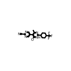 Cc1nc(C2CCC(C(F)(F)F)CC2)[nH]c(=O)c1-c1cnc(C#N)nc1